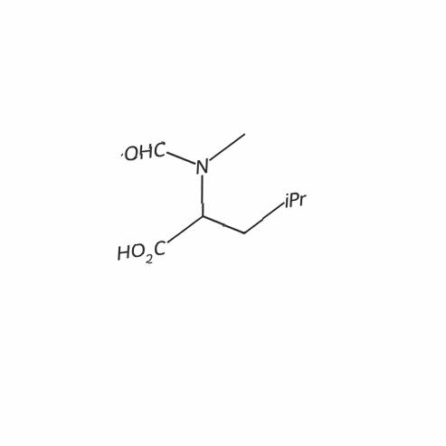 CC(C)CC(C(=O)O)N(C)[C]=O